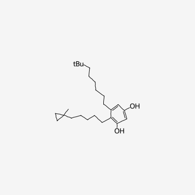 CC(C)(C)CCCCCCc1cc(O)cc(O)c1CCCCCC1(C)CC1